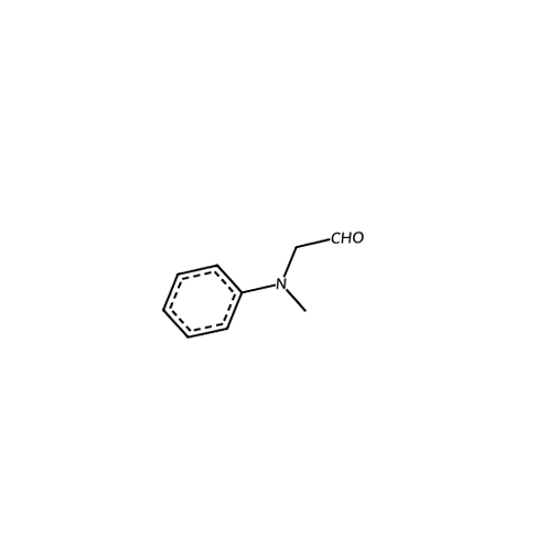 CN(CC=O)c1ccccc1